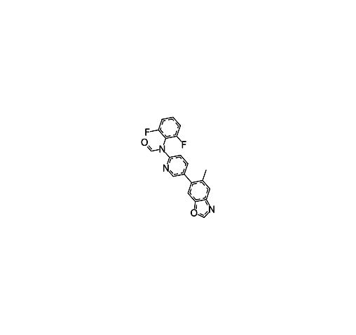 Cc1cc2ncoc2cc1-c1ccc(N(C=O)c2c(F)cccc2F)nc1